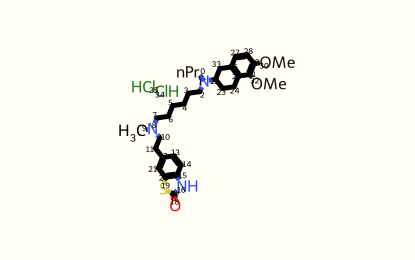 CCCN(CCCCCCN(C)CCc1ccc2[nH]c(=O)sc2c1)C1CCc2c(ccc(OC)c2OC)C1.Cl.Cl